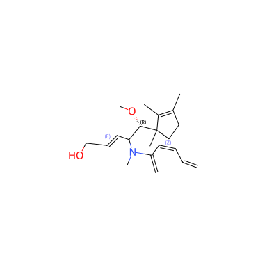 C=C/C=C\C(=C)N(C)C(/C=C/CO)[C@H](OC)C1(C)CCC(C)=C1C